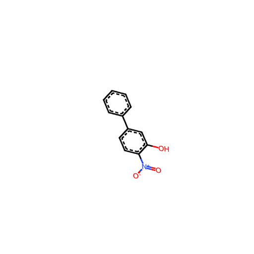 O=[N+]([O-])c1ccc(-c2ccccc2)cc1O